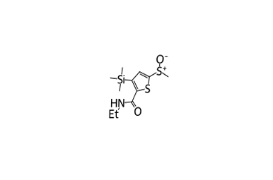 CCNC(=O)c1sc([S+](C)[O-])cc1[Si](C)(C)C